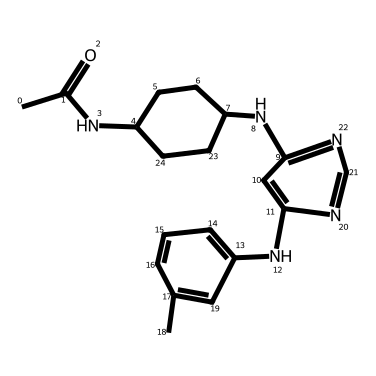 CC(=O)NC1CCC(Nc2cc(Nc3cccc(C)c3)ncn2)CC1